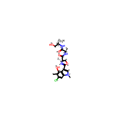 Cc1c(Cl)cc2c(c(C3=N[C@@](C)(C(=O)N[C@H](C)C(=O)N[C@@H](CO)C(=O)O)CO3)cn2C)c1O